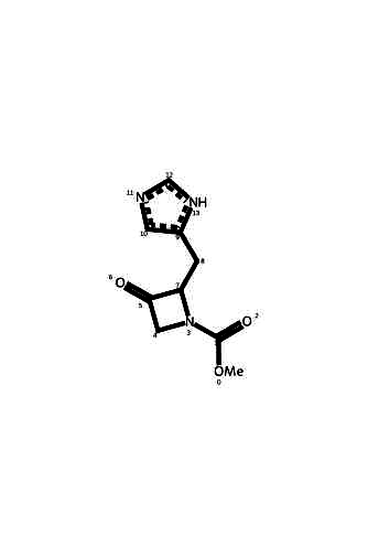 COC(=O)N1CC(=O)C1Cc1cnc[nH]1